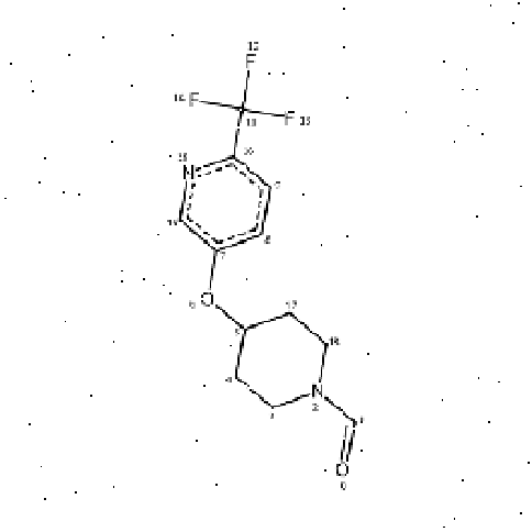 O=CN1CCC(Oc2ccc(C(F)(F)F)nc2)CC1